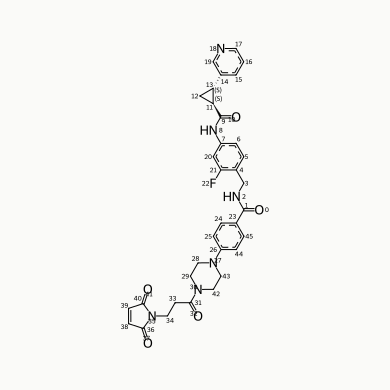 O=C(NCc1ccc(NC(=O)[C@H]2C[C@@H]2c2cccnc2)cc1F)c1ccc(N2CCN(C(=O)CCN3C(=O)C=CC3=O)CC2)cc1